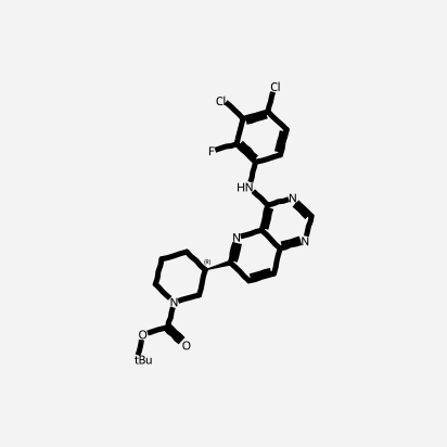 CC(C)(C)OC(=O)N1CCC[C@@H](c2ccc3ncnc(Nc4ccc(Cl)c(Cl)c4F)c3n2)C1